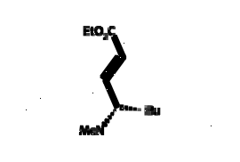 CCOC(=O)/C=C/[C@@H](NC)[C@@H](C)CC